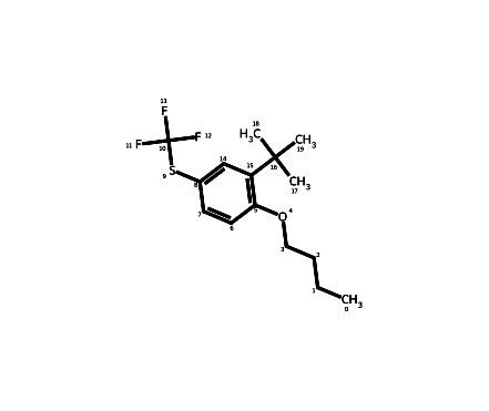 CCCCOc1ccc(SC(F)(F)F)cc1C(C)(C)C